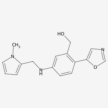 Cn1cccc1CNc1ccc(-c2cnco2)c(CO)c1